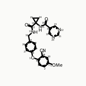 COc1ccc(Oc2ccc(CNC(=O)C3(NC(=O)c4cncnc4)CC3)cc2)c(C#N)c1